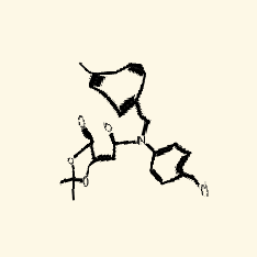 Cc1ccc(CN(C(=O)C=C2OC(C)(C)OC2=O)c2ccc(Cl)cc2)cc1